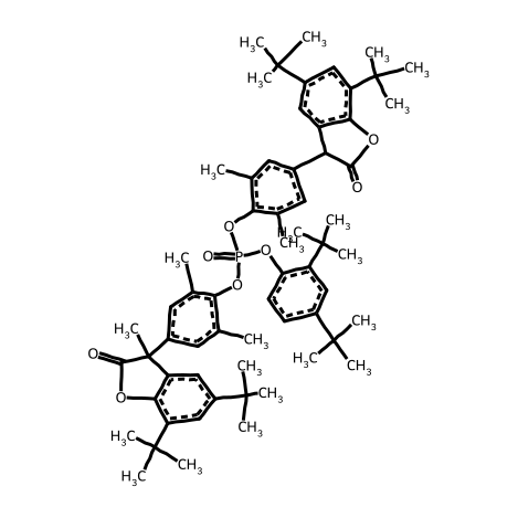 Cc1cc(C2C(=O)Oc3c2cc(C(C)(C)C)cc3C(C)(C)C)cc(C)c1OP(=O)(Oc1ccc(C(C)(C)C)cc1C(C)(C)C)Oc1c(C)cc(C2(C)C(=O)Oc3c(C(C)(C)C)cc(C(C)(C)C)cc32)cc1C